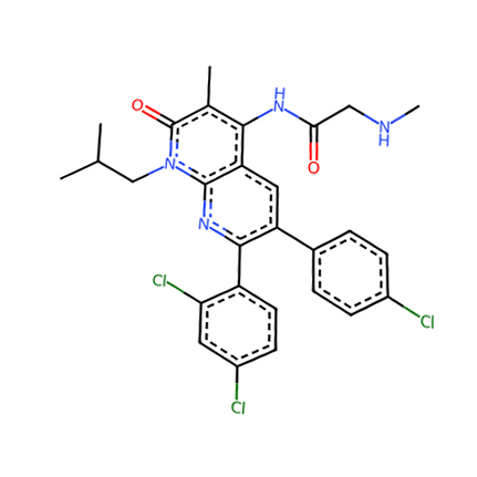 CNCC(=O)Nc1c(C)c(=O)n(CC(C)C)c2nc(-c3ccc(Cl)cc3Cl)c(-c3ccc(Cl)cc3)cc12